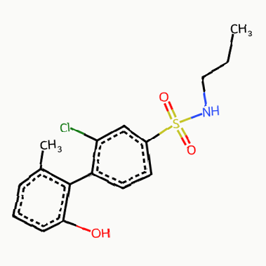 CCCNS(=O)(=O)c1ccc(-c2c(C)cccc2O)c(Cl)c1